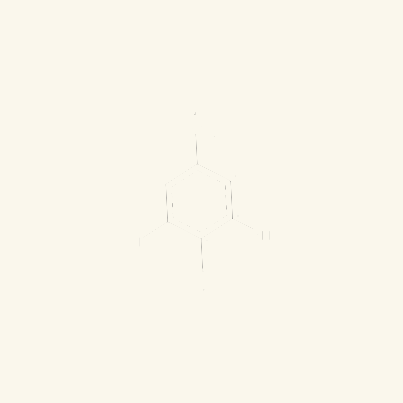 [2H]c1cc(C(=O)O)cc([2H])c1O